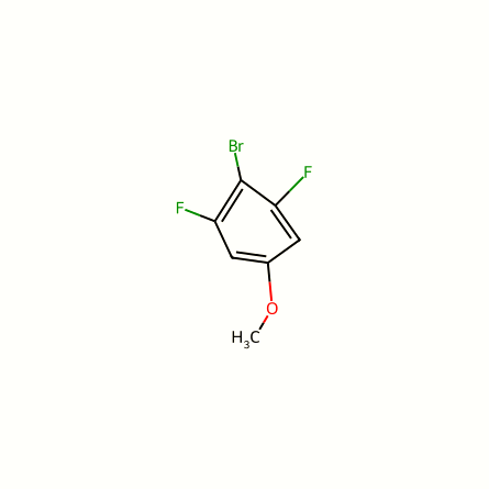 COc1cc(F)c(Br)c(F)c1